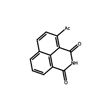 CC(=O)c1ccc2cccc3c2c1C(=O)NC3=O